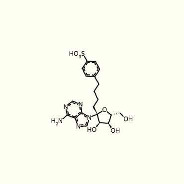 Nc1ncnc2c1ncn2[C@]1(CCCCc2ccc(S(=O)(=O)O)cc2)O[C@H](CO)[C@@H](O)[C@H]1O